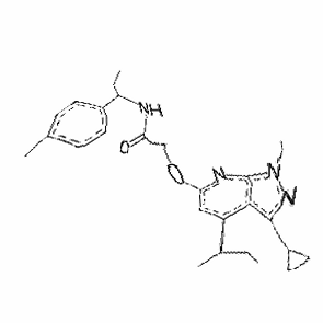 Cc1ccc(C(C)NC(=O)COc2cc(C(C)C)c3c(C4CC4)nn(C)c3n2)cc1